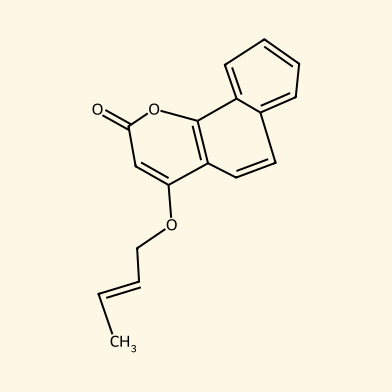 CC=CCOc1cc(=O)oc2c1ccc1ccccc12